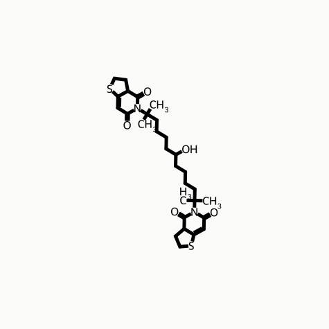 CC(C)(CCCCC(O)CCCCC(C)(C)N1C(=O)C=C2SCCC2C1=O)N1C(=O)C=C2SCCC2C1=O